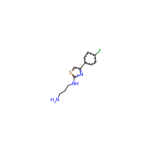 NCCCNc1nc(-c2ccc(F)cc2)cs1